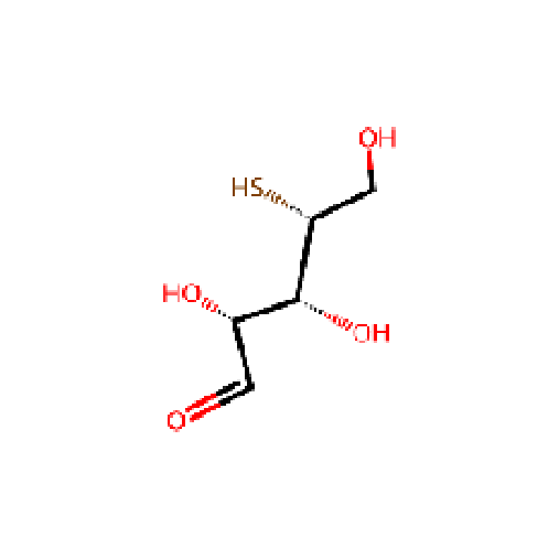 O=C[C@H](O)[C@@H](O)[C@H](S)CO